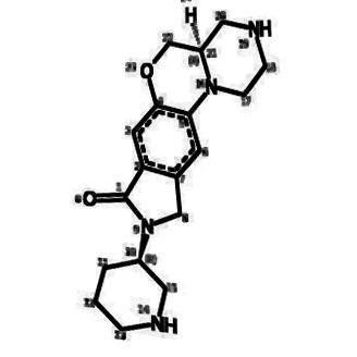 O=C1c2cc3c(cc2CN1[C@@H]1CCCNC1)N1CCNC[C@@H]1CO3